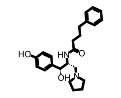 O=C(CCCc1ccccc1)N[C@H](CN1CCCC1)[C@H](O)c1ccc(O)cc1